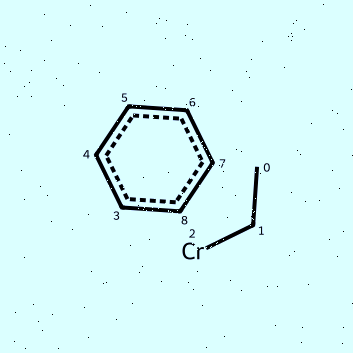 C[CH2][Cr].c1ccccc1